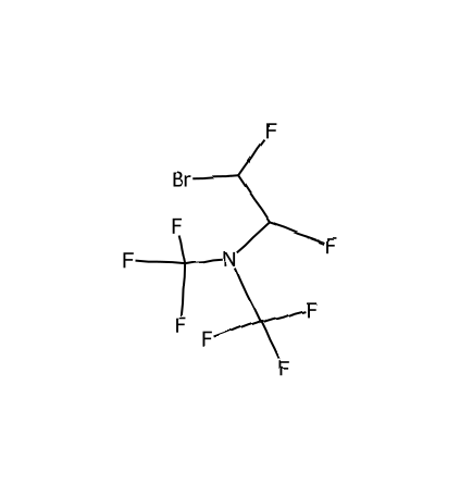 FC(Br)C(F)N(C(F)(F)F)C(F)(F)F